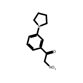 O=C(C[N+](=O)[O-])c1cccc(N2CCCC2)c1